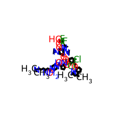 Cc1cc(C)c2cccc(OCc3c(Cl)ccc(S(=O)(=O)NC4CCCC4C(=O)N4CCN(C(=O)CC(N)CCCN(C)C)CC4)c3Cl)c2n1.O=C(O)C(F)(F)F.O=C1C=C(N2CC2)C(=O)C(N2CC2)=C1N1CC1